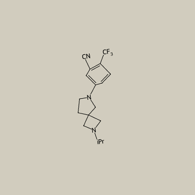 CC(C)N1CC2(CCN(c3ccc(C(F)(F)F)c(C#N)c3)C2)C1